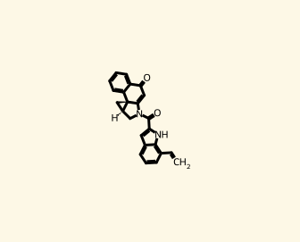 C=Cc1cccc2cc(C(=O)N3C[C@H]4C[C@@]45C3=CC(=O)c3ccccc35)[nH]c12